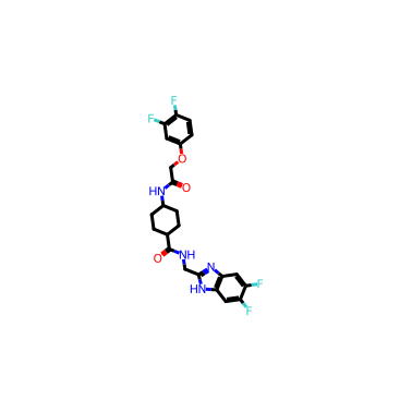 O=C(COc1ccc(F)c(F)c1)NC1CCC(C(=O)NCc2nc3cc(F)c(F)cc3[nH]2)CC1